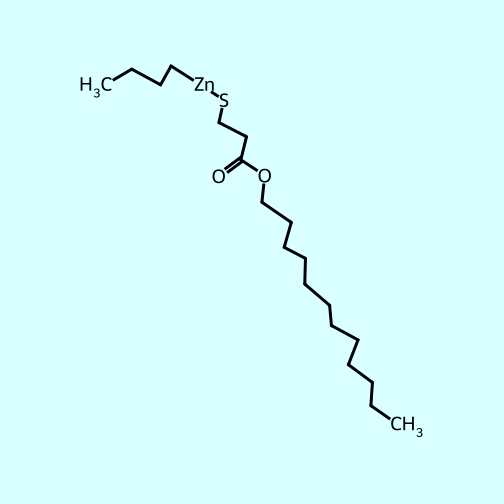 CCCCCCCCCCCCOC(=O)CC[S][Zn][CH2]CCC